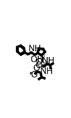 COC(=O)C(NC(=O)[C@H](NC(=O)[C@@H]1CCCC1C(O)C(N)Cc1ccccc1)C(C)C)C(C)C